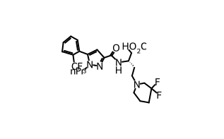 CCCn1nc(C(=O)N[C@@H](CCN2CCCC(F)(F)C2)CC(=O)O)cc1-c1ccccc1C(F)(F)F